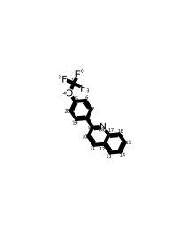 FC(F)(F)Oc1ccc(-c2ccc3ccccc3n2)cc1